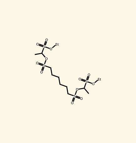 CCOS(=O)(=O)C(C)OS(=O)(=O)CCCCCCS(=O)(=O)OC(C)S(=O)(=O)OCC